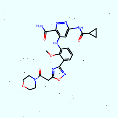 COc1c(Nc2cc(NC(=O)C3CC3)nnc2C(N)=O)cccc1-c1noc(CC(=O)N2CCOCC2)n1